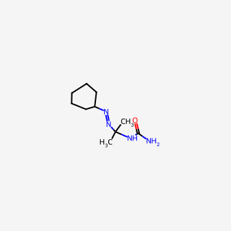 CC(C)(N=NC1CCCCC1)NC(N)=O